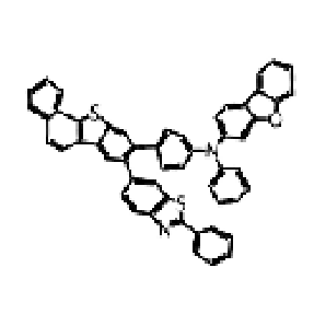 c1ccc(-c2nc3ccc(-c4cc5c(cc4-c4ccc(N(c6ccccc6)c6ccc7c(c6)oc6ccccc67)cc4)sc4c6ccccc6ccc54)cc3s2)cc1